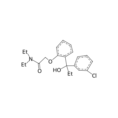 CCN(CC)C(=O)COc1ccccc1C(O)(CC)c1cccc(Cl)c1